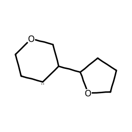 [C]1CCOCC1C1CCCO1